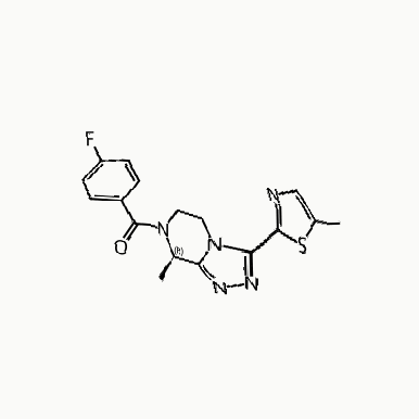 Cc1cnc(-c2nnc3n2CCN(C(=O)c2ccc(F)cc2)[C@@H]3C)s1